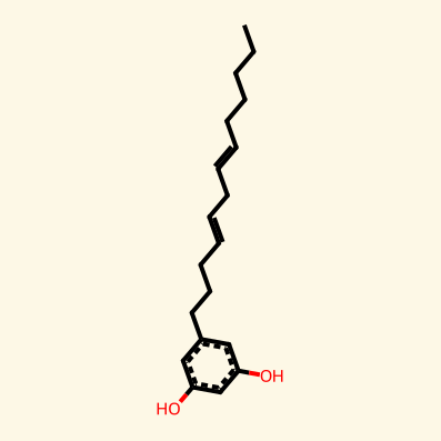 CCCCCC=CCC=CCCCc1cc(O)cc(O)c1